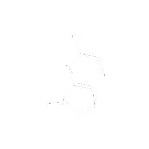 Clc1ccc2ccn(I)c2n1